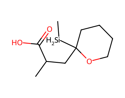 C[SiH2]C1(CC(C)C(=O)O)CCCCO1